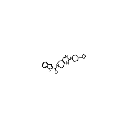 O=C(c1cc2ccccc2s1)N1CCc2cnc(N3CCN(C4CCC4)CC3)nc2CC1